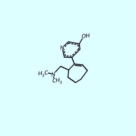 CN(C)CC1CCCCC=C1c1cncc(O)c1